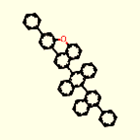 c1ccc(-c2ccc3c(c2)Oc2cccc4c(-c5c6ccccc6c(-c6ccc(-c7ccccc7)c7ccccc67)c6ccccc56)ccc-3c24)cc1